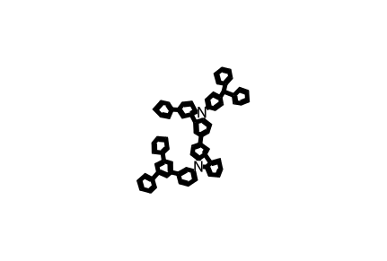 c1ccc(-c2cc(-c3ccccc3)cc(-c3cccc(-n4c5ccccc5c5cc(-c6ccc7c(c6)c6cc(-c8ccccc8)ccc6n7-c6ccc(C(c7ccccc7)c7ccccc7)cc6)ccc54)c3)c2)cc1